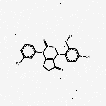 CCSc1cc(C#N)ccc1C1NC(=O)N(c2cccc(C(F)(F)F)c2)C2=C1C(=O)CC2